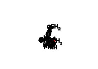 C=CC(=O)N1CC2(CCN(c3nc(N4CCCCC4)nc4c(OCC(F)(F)F)c(-c5c(C)ccc6[nH]ncc56)c(C5CC5)cc34)CC2)C1